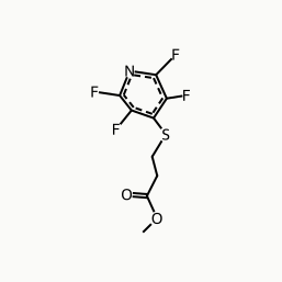 COC(=O)CCSc1c(F)c(F)nc(F)c1F